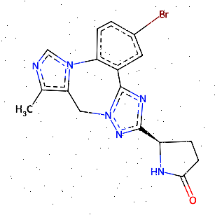 Cc1ncn2c1Cn1nc([C@H]3CCC(=O)N3)nc1-c1cc(Br)ccc1-2